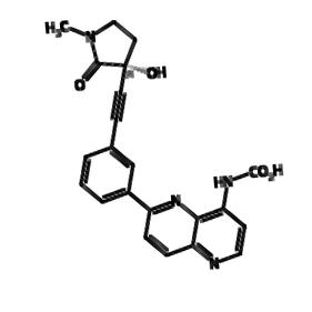 CN1CC[C@@](O)(C#Cc2cccc(-c3ccc4nccc(NC(=O)O)c4n3)c2)C1=O